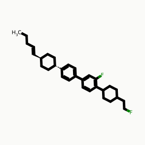 CCC/C=C/[C@H]1CC[C@H](c2ccc(-c3ccc(C4CCC(CCF)CC4)c(F)c3)cc2)CC1